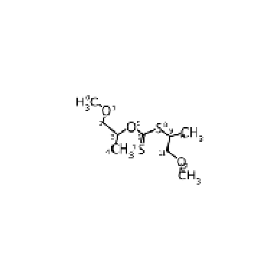 COCC(C)OC(=S)SC(C)COC